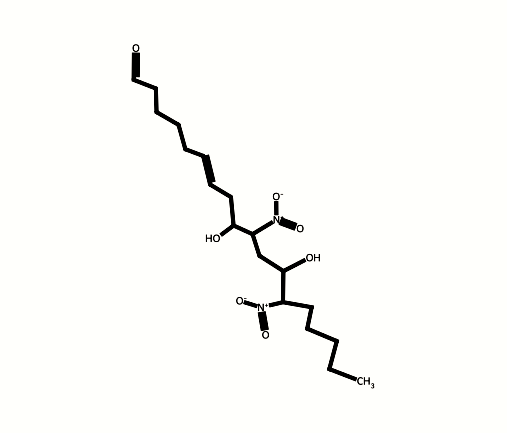 CCCCCC(C(O)CC(C(O)CC=CCCCCC=O)[N+](=O)[O-])[N+](=O)[O-]